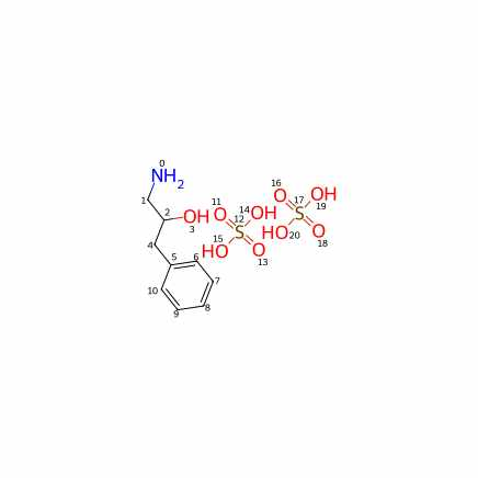 NCC(O)Cc1ccccc1.O=S(=O)(O)O.O=S(=O)(O)O